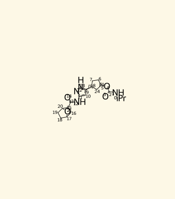 CC(C)NC(=O)O[C@@H]1CC[C@H](c2cc(NC(=O)C3CC4CCC3O4)n[nH]2)C1